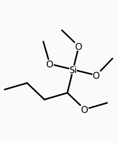 CCCC(OC)[Si](OC)(OC)OC